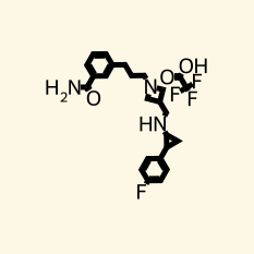 NC(=O)c1cccc(CCCN2CC(CNC3CC3c3ccc(F)cc3)C2)c1.O=C(O)C(F)(F)F